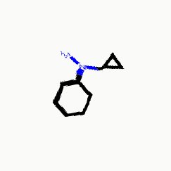 NN(C1CCCCC1)C1CC1